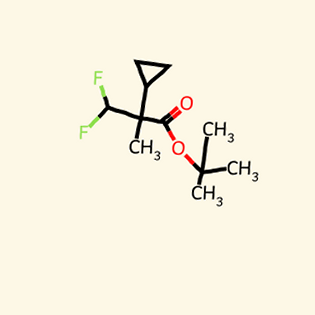 CC(C)(C)OC(=O)C(C)(C(F)F)C1CC1